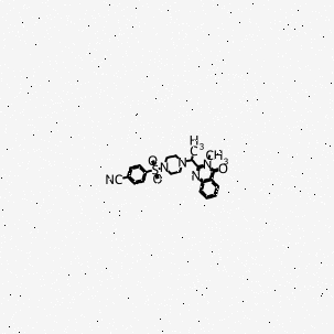 CC(c1nc2ccccc2c(=O)n1C)N1CCN(S(=O)(=O)c2ccc(C#N)cc2)CC1